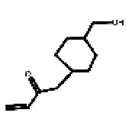 C=CC(=O)CC1CCC(CO)CC1